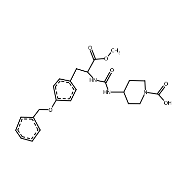 COC(=O)C(Cc1ccc(OCc2ccccc2)cc1)NC(=O)NC1CCN(C(=O)O)CC1